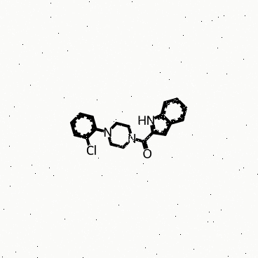 O=C(c1cc2ccccc2[nH]1)N1CCN(c2ccccc2Cl)CC1